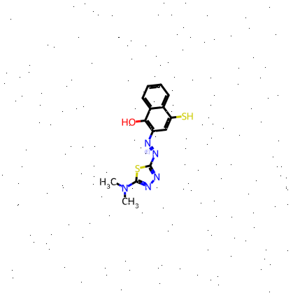 CN(C)c1nnc(/N=N/c2cc(S)c3ccccc3c2O)s1